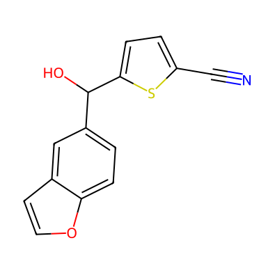 N#Cc1ccc(C(O)c2ccc3occc3c2)s1